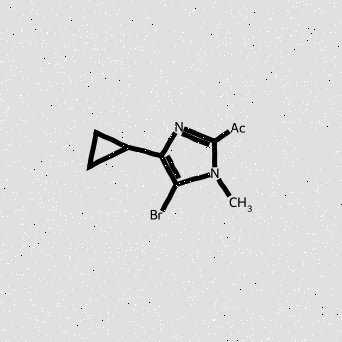 CC(=O)c1nc(C2CC2)c(Br)n1C